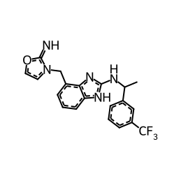 CC(Nc1nc2c(Cn3ccoc3=N)cccc2[nH]1)c1cccc(C(F)(F)F)c1